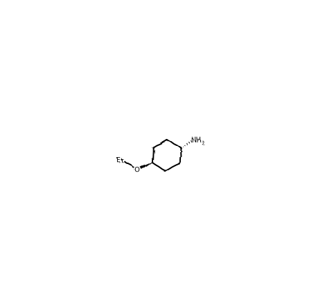 CCO[C@H]1CC[C@H](N)CC1